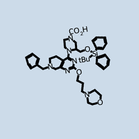 CC(C)(C)[Si](OCC1CN(C(=O)O)CCN1c1nc(OCCCN2CCOCC2)nc2c1CCN(Cc1ccccc1)C2)(c1ccccc1)c1ccccc1